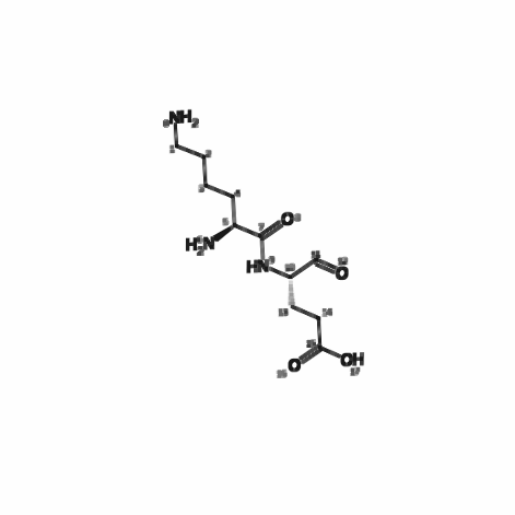 NCCCC[C@H](N)C(=O)N[C@H]([C]=O)CCC(=O)O